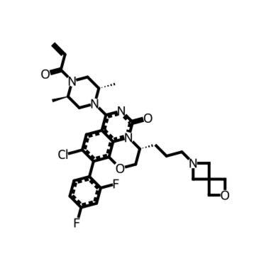 C=CC(=O)N1C[C@H](C)N(c2nc(=O)n3c4c(c(-c5ccc(F)cc5F)c(Cl)cc24)OC[C@H]3CCCN2CC3(COC3)C2)C[C@H]1C